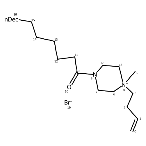 C=CCC[N+]1(C)CCN(C(=O)CCCCCCCCCCCCCCC)CC1.[Br-]